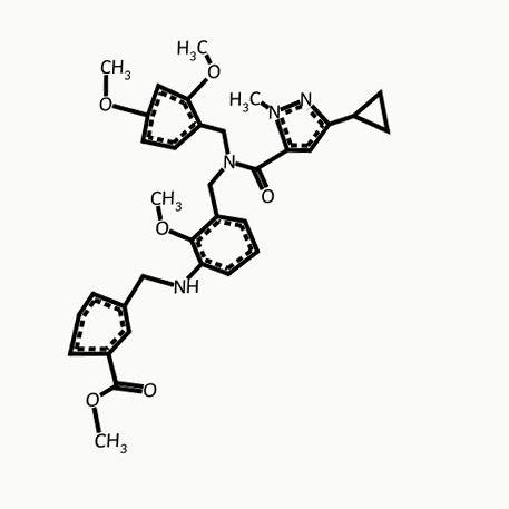 COC(=O)c1cccc(CNc2cccc(CN(Cc3ccc(OC)cc3OC)C(=O)c3cc(C4CC4)nn3C)c2OC)c1